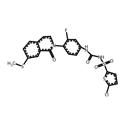 CSc1ccc2ccn(-c3ccc(NC(=O)NS(=O)(=O)c4ccc(Cl)s4)cc3F)c(=O)c2c1